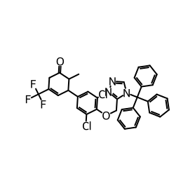 CC1C(=O)CC(C(F)(F)F)=CC1c1cc(Cl)c(OCc2nncn2C(c2ccccc2)(c2ccccc2)c2ccccc2)c(Cl)c1